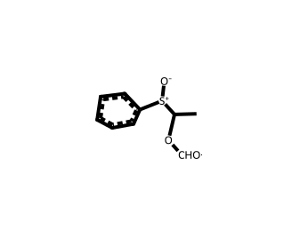 CC(O[C]=O)[S+]([O-])c1ccccc1